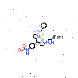 CCCC(C)c1cn(C2=N/C(=C(/c3ccc(NC(=O)CO)cc3)c3ccc(NCc4ccccc4C)n3B(F)F)C=C2)nn1